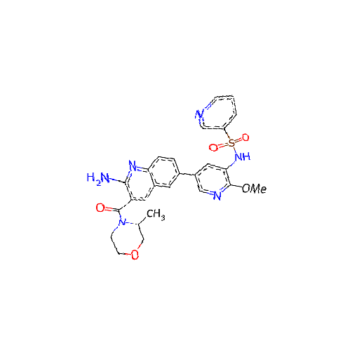 COc1ncc(-c2ccc3nc(N)c(C(=O)N4CCOCC4C)cc3c2)cc1NS(=O)(=O)c1cccnc1